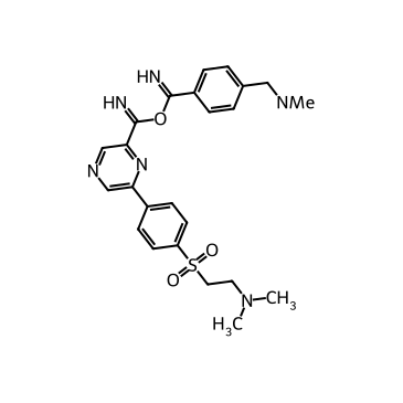 CNCc1ccc(C(=N)OC(=N)c2cncc(-c3ccc(S(=O)(=O)CCN(C)C)cc3)n2)cc1